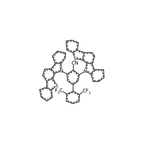 N#Cc1c(-n2c3ccccc3c3ccc4c5ccccc5sc4c32)cc(-c2c(C(F)(F)F)cccc2C(F)(F)F)cc1-n1c2ccccc2c2ccc3c4ccccc4sc3c21